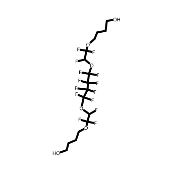 OCCCCOC(F)(F)C(F)OC(F)(F)C(F)(F)C(F)(F)C(F)(F)OC(F)C(F)(F)OCCCCO